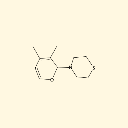 CC1=C(C)C(N2CCSCC2)OC=C1